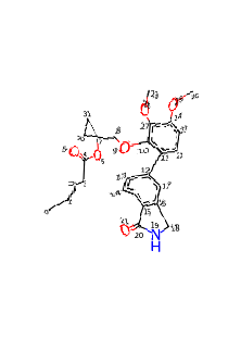 CCCCC(=O)OC1(COc2c(-c3ccc4c(c3)CNC4=O)ccc(OC)c2OC)CC1